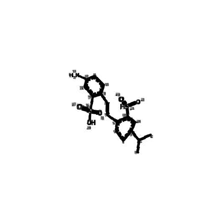 CC(C)c1ccc(/C=C/c2ccc(N)cc2S(=O)(=O)O)c([SH](=O)=O)c1